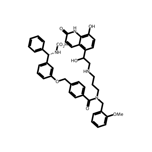 COc1ccccc1CN(CCCNCC(O)c1ccc(O)c2[nH]c(=O)ccc12)C(=O)c1ccc(COc2cccc([C@@H](NC(=O)O)c3ccccc3)c2)cc1